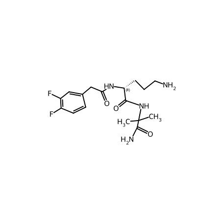 CC(C)(NC(=O)[C@@H](CCCN)NC(=O)Cc1ccc(F)c(F)c1)C(N)=O